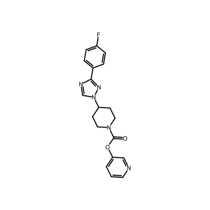 O=C(Oc1cccnc1)N1CCC(n2cnc(-c3ccc(F)cc3)n2)CC1